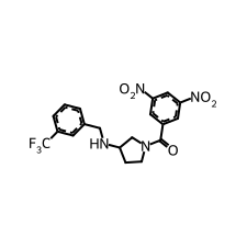 O=C(c1cc([N+](=O)[O-])cc([N+](=O)[O-])c1)N1CCC(NCc2cccc(C(F)(F)F)c2)C1